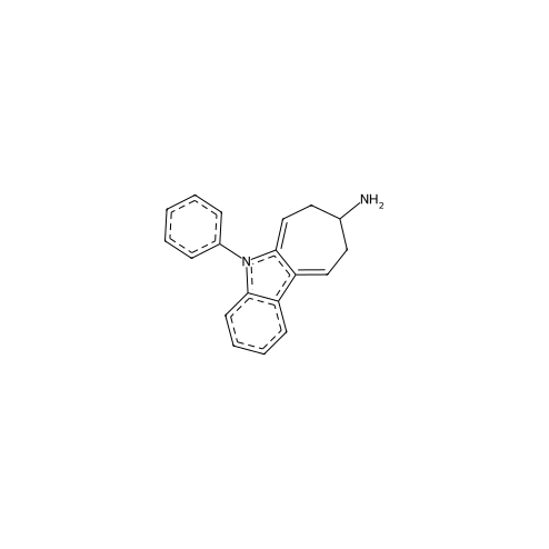 NC1CC=c2c(n(-c3ccccc3)c3ccccc23)=CC1